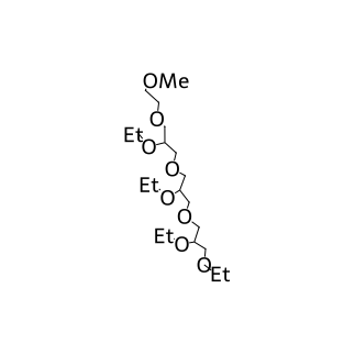 CCOCC(COCC(COCC(COCCOC)OCC)OCC)OCC